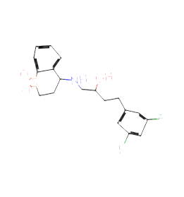 O=S1(=O)CCC(NCC(O)CCc2cc(F)cc(F)c2)c2ccccc21